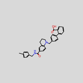 Cc1ccc(CNC(=O)c2ccc3c(c2)CCCN3Cc2ccc(-c3ccccc3C(=O)O)cc2)cc1